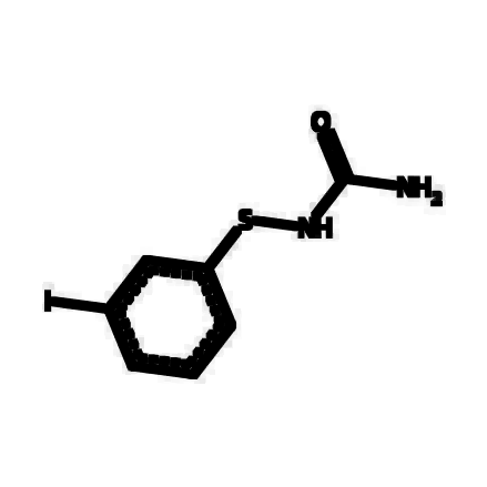 NC(=O)NSc1cccc(I)c1